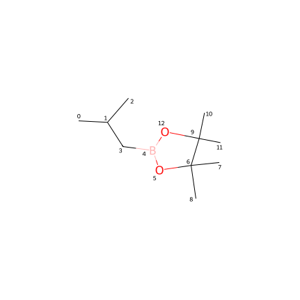 CC(C)CB1OC(C)(C)C(C)(C)O1